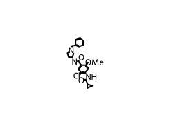 COc1cc(NC(=O)C2CC2)c(Cl)cc1C(=O)[N][C@H]1CCN(Cc2ccccc2)C1